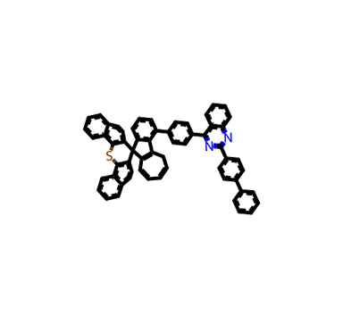 C1=CCC2=C(C=C1)C1(c3cccc(-c4ccc(-c5nc(-c6ccc(-c7ccccc7)cc6)nc6ccccc56)cc4)c32)c2ccc3ccccc3c2Sc2c1ccc1ccccc21